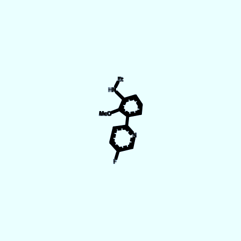 CCNc1cccc(-c2ccc(F)cn2)c1OC